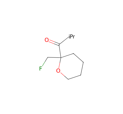 CC(C)C(=O)C1(CF)CCCCO1